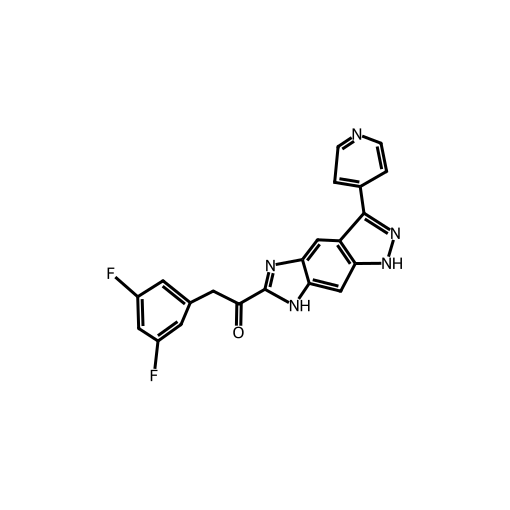 O=C(Cc1cc(F)cc(F)c1)c1nc2cc3c(-c4ccncc4)n[nH]c3cc2[nH]1